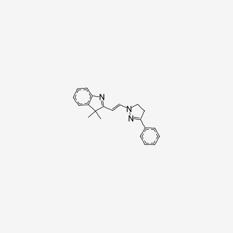 CC1(C)C(/C=C/N2CCC(c3ccccc3)=N2)=Nc2ccccc21